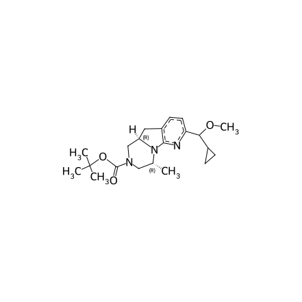 COC(c1ccc2c(n1)N1[C@H](C2)CN(C(=O)OC(C)(C)C)C[C@H]1C)C1CC1